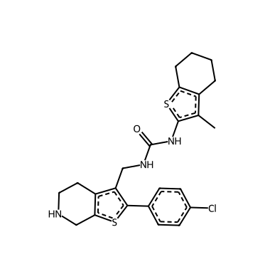 Cc1c(NC(=O)NCc2c(-c3ccc(Cl)cc3)sc3c2CCNC3)sc2c1CCCC2